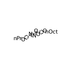 CCCCCCCCOc1ccc(OC(=O)c2cnc(-c3ccc(OCCC)cc3)cn2)cc1